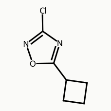 Clc1noc(C2CCC2)n1